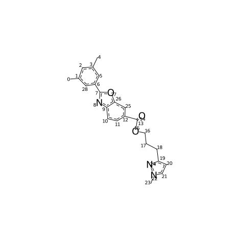 Cc1cc(C)cc(-c2nc3ccc(C(=O)OCCCc4ccn(C)n4)cc3o2)c1